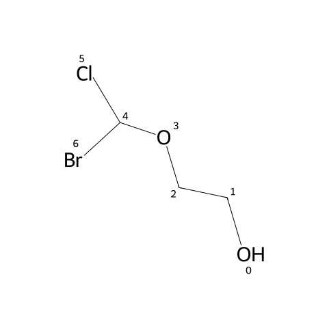 OCCOC(Cl)Br